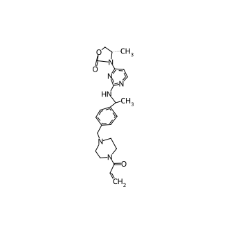 C=CC(=O)N1CCN(Cc2ccc(C(C)Nc3nccc(N4C(=O)OC[C@@H]4C)n3)cc2)CC1